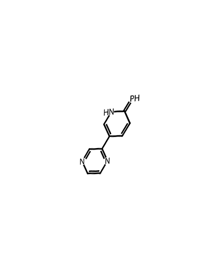 P=c1ccc(-c2cnccn2)c[nH]1